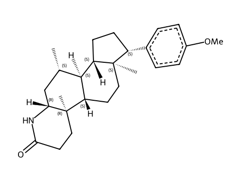 COc1ccc([C@H]2CC[C@H]3[C@@H]4[C@@H](C)C[C@H]5NC(=O)CC[C@]5(C)[C@H]4CC[C@]23C)cc1